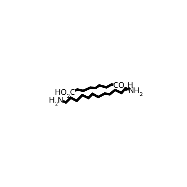 NCCCCCCCCCCCCN.O=C(O)CCCCCCCC(=O)O